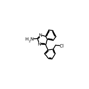 Nc1nc(-c2ccccc2CCl)c2ccccc2n1